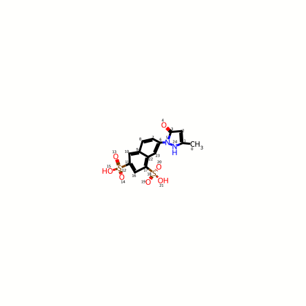 Cc1cc(=O)n(-c2ccc3cc(S(=O)(=O)O)cc(S(=O)(=O)O)c3c2)[nH]1